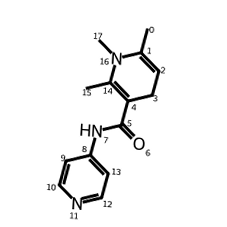 CC1=CCC(C(=O)Nc2ccncc2)=C(C)N1C